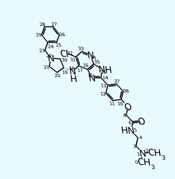 CN(C)CCNC(=O)COc1ccc(-c2nc3c(N[C@@H]4CCN(Cc5ccccc5)C4)c(Cl)cnc3[nH]2)cc1